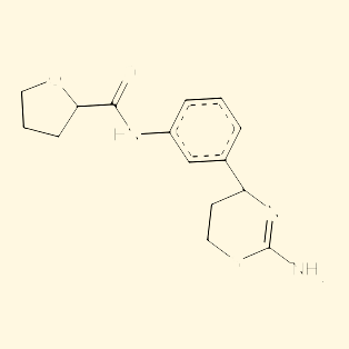 C[C@@]1(c2cccc(NC(=O)C3CCCO3)c2)CCSC(N)=N1